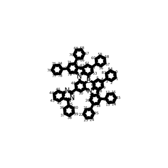 c1ccc(-c2cc3c4c(c2)c2c(-c5ccccc5)cc(-c5ccccc5)cc2n4-c2cc(-c4nc(-c5ccccc5)c5ccccc5n4)cc4c2B3c2cc(-c3ccccc3)cc3c5c(-c6ccccc6)cc(-c6ccccc6)cc5n-4c23)cc1